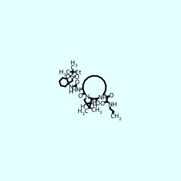 C=CCNC(=O)C(=O)[C@@H]1CCCCCCCCC[C@H](NC(=O)NC2(CS(=O)(=O)C(C)(C)CC)CCCCC2)C(=O)N2C[C@H]3[C@@H]([C@H]2C(=O)N1)C3(C)C